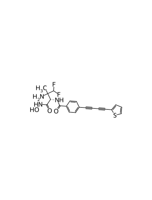 CC(N)(C(F)F)[C@H](NC(=O)c1ccc(C#CC#Cc2cccs2)cc1)C(=O)NO